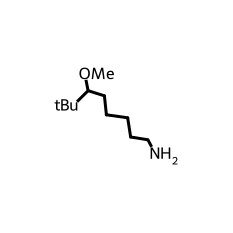 COC(CCCCCN)C(C)(C)C